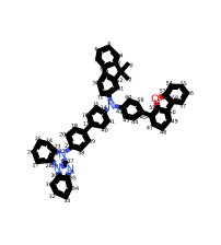 CC1(C)c2ccccc2-c2ccc(N(c3ccc(-c4ccc(-n5c6ccccc6n6c7ccccc7nc56)cc4)cc3)c3ccc(-c4cccc5c4oc4ccccc45)cc3)cc21